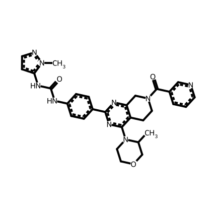 CC1COCCN1c1nc(-c2ccc(NC(=O)Nc3ccnn3C)cc2)nc2c1CCN(C(=O)c1cccnc1)C2